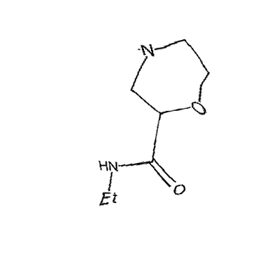 CCNC(=O)C1C[N]CCO1